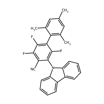 Cc1cc(C)c(-c2c(F)c(F)c(C#N)c(-n3c4ccccc4c4ccccc43)c2F)c(C)c1